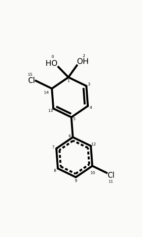 OC1(O)C=CC(c2cccc(Cl)c2)=CC1Cl